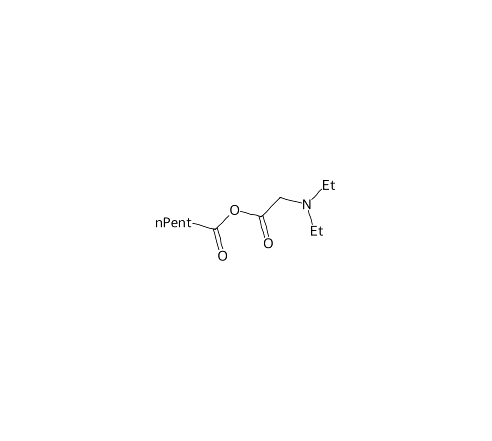 CCCCCC(=O)OC(=O)CN(CC)CC